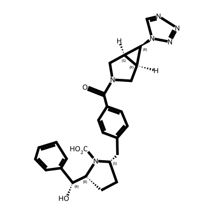 O=C(c1ccc(C[C@@H]2CC[C@H]([C@H](O)c3ccccc3)N2C(=O)O)cc1)N1C[C@@H]2[C@H](C1)[C@@H]2n1cnnn1